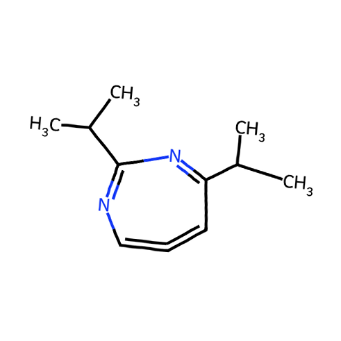 CC(C)C1=NC(C(C)C)=NC=C=C1